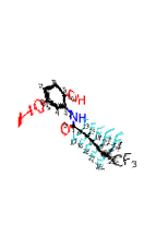 O=C(Nc1cc(O)ccc1O)C(F)(F)C(F)(F)C(F)(F)C(F)(F)C(F)(F)C(F)(F)F